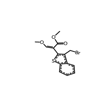 COC=C(C(=O)OC)c1sc2ccccc2c1CBr